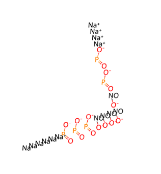 O=N[O-].O=N[O-].O=N[O-].O=N[O-].O=N[O-].O=P[O-].O=P[O-].O=P[O-].O=P[O-].O=P[O-].[Na+].[Na+].[Na+].[Na+].[Na+].[Na+].[Na+].[Na+].[Na+].[Na+]